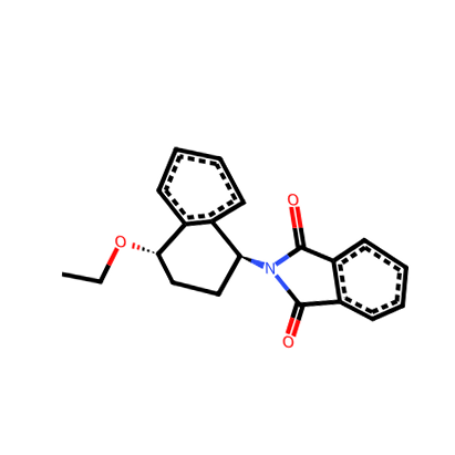 CCO[C@H]1CC[C@H](N2C(=O)c3ccccc3C2=O)c2ccccc21